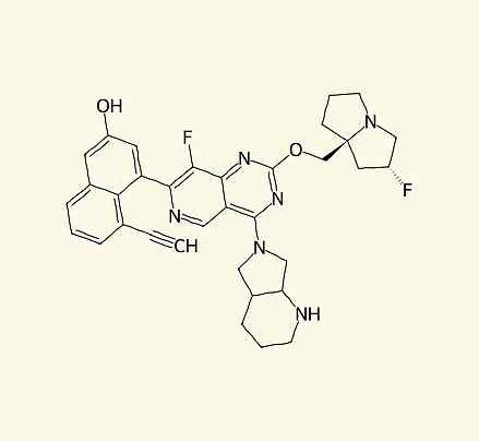 C#Cc1cccc2cc(O)cc(-c3ncc4c(N5CC6CCCNC6C5)nc(OC[C@@]56CCCN5C[C@H](F)C6)nc4c3F)c12